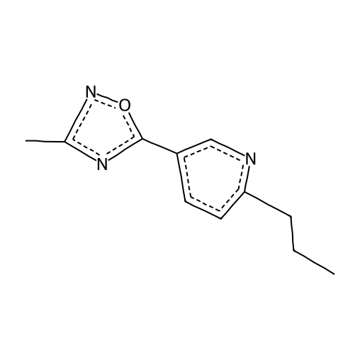 CCCc1ccc(-c2nc(C)no2)cn1